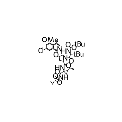 C=CC1CC1(NC(=O)C1CC(Oc2ncc(OC)c3ccc(Cl)cc23)CN1C(=O)C(NC(=O)OC(C)(C)C)C(C)(C)C)C(=O)NS(=O)(=O)C1CC1